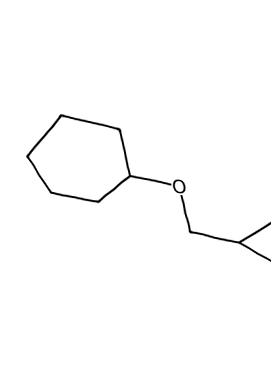 C1CCC(OCC2CO2)CC1